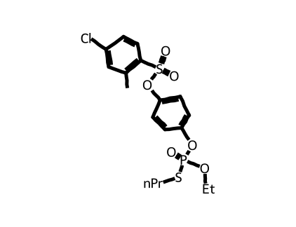 CCCSP(=O)(OCC)Oc1ccc(OS(=O)(=O)c2ccc(Cl)cc2C)cc1